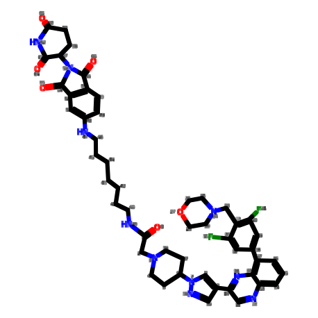 O=C(CN1CCC(n2cc(-c3cnc4cccc(-c5cc(F)c(CN6CCOCC6)c(F)c5)c4n3)cn2)CC1)NCCCCCCCNc1ccc2c(c1)C(=O)N(C1CCC(=O)NC1=O)C2=O